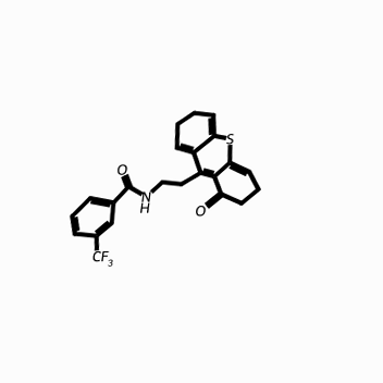 O=C1CCC=C2SC3=CCCC=C3C(CCNC(=O)c3cccc(C(F)(F)F)c3)=C12